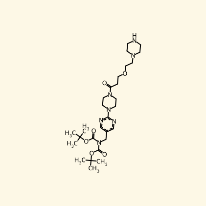 CC(C)(C)OC(=O)N(Cc1cnc(N2CCN(C(=O)CCOCCN3CCNCC3)CC2)nc1)C(=O)OC(C)(C)C